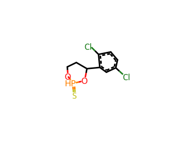 S=[PH]1OCCC(c2cc(Cl)ccc2Cl)O1